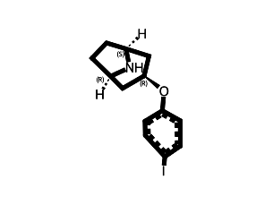 Ic1ccc(O[C@H]2C[C@H]3CC[C@@H](C2)N3)cc1